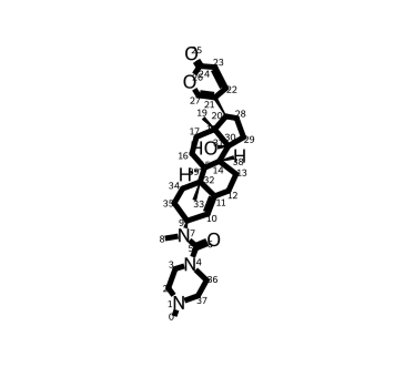 CN1CCN(C(=O)N(C)[C@@H]2C=C3CC[C@@H]4[C@H](CC[C@]5(C)[C@@H](c6ccc(=O)oc6)CC[C@]45O)[C@@]3(C)CC2)CC1